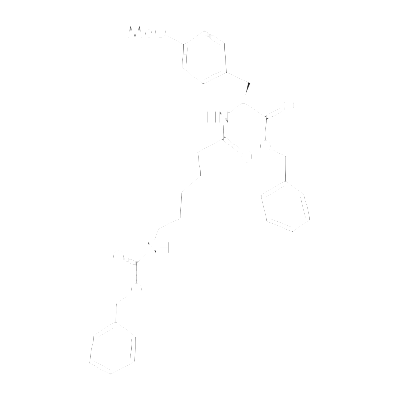 COc1ccc(C[C@H](NC(=O)CCCCCNC(=O)OCc2ccccc2)C(=O)OCc2ccccc2)cc1